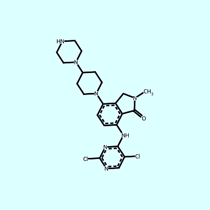 CN1Cc2c(N3CCC(N4CCNCC4)CC3)ccc(Nc3nc(Cl)ncc3Cl)c2C1=O